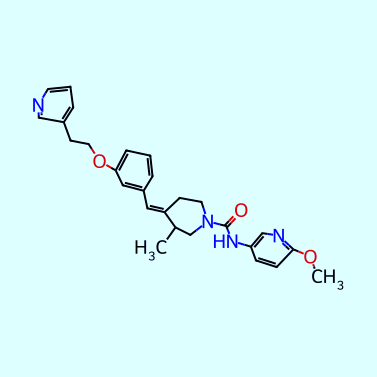 COc1ccc(NC(=O)N2CCC(=Cc3cccc(OCCc4cccnc4)c3)C(C)C2)cn1